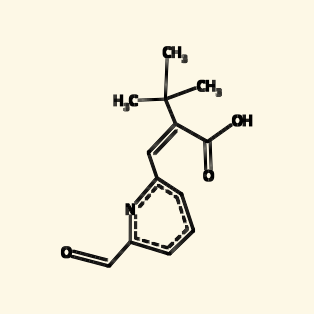 CC(C)(C)C(=Cc1cccc(C=O)n1)C(=O)O